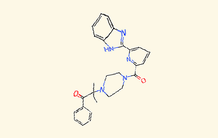 CC(C)(C(=O)c1ccccc1)N1CCN(C(=O)c2cccc(-c3nc4ccccc4[nH]3)n2)CC1